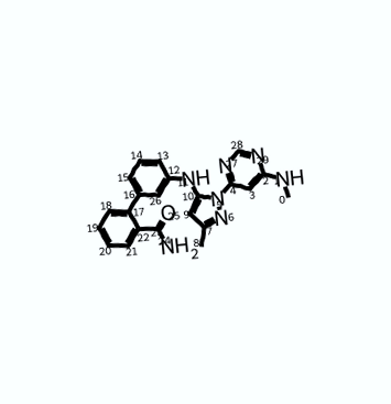 CNc1cc(-n2nc(C)cc2Nc2cccc(-c3ccccc3C(N)=O)c2)ncn1